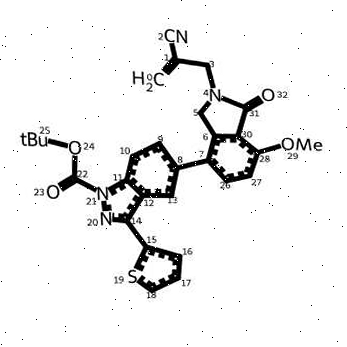 C=C(C#N)CN1Cc2c(-c3ccc4c(c3)c(-c3cccs3)nn4C(=O)OC(C)(C)C)ccc(OC)c2C1=O